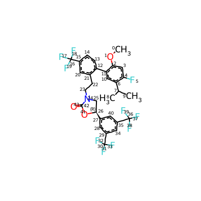 COc1cc(F)c(C(C)C)cc1-c1ccc(C(F)(F)F)cc1CCN1C[C@@H](c2cc(C(F)(F)F)cc(C(F)(F)F)c2)OC1=O